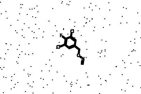 C=NOCc1cc(Cl)c(F)c(Cl)c1